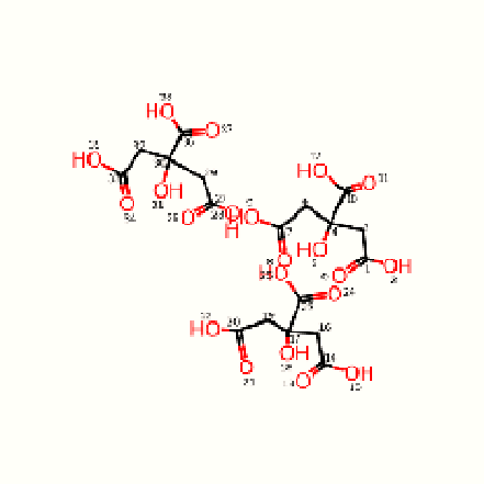 O=C(O)CC(O)(CC(=O)O)C(=O)O.O=C(O)CC(O)(CC(=O)O)C(=O)O.O=C(O)CC(O)(CC(=O)O)C(=O)O